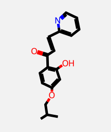 CC(C)COc1ccc(C(=O)C=Cc2ccccn2)c(O)c1